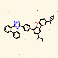 CCC(C)c1cc(-c2ccc(-c3nnc4c5ccccc5c5ccccc5n34)cc2)c2oc3ccc(C4(C)C5CC54)cc3c2c1